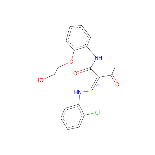 CC(=O)/C(=C/Nc1ccccc1Cl)C(=O)Nc1ccccc1OCCO